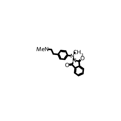 CNCCc1ccc(N(C)N2C(=O)c3ccccc3C2=O)cc1